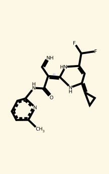 Cc1cccc(NC(=O)/C(C=N)=C2/NC(C(F)F)=CC(=C3CC3)N2)n1